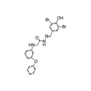 O=C(CNc1cccc(Oc2ccccc2)c1)N/N=C/c1cc(Br)c(O)c(Br)c1